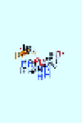 CCOP(=P)(CCNC(=O)[C@H](CC(C)C)NC(=O)Nc1ccc(Br)cc1)PCC